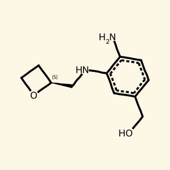 Nc1ccc(CO)cc1NC[C@@H]1CCO1